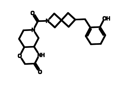 O=C1COC2CCN(C(=O)N3CC4(CC(CC5=CCCC=C5O)C4)C3)CC2N1